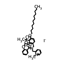 CCCCCCCCCCCCOc1ccc(CN(Cc2cccc[n+]2C)C(=O)c2ccccc2OC)cc1C(C)(C)C.[I-]